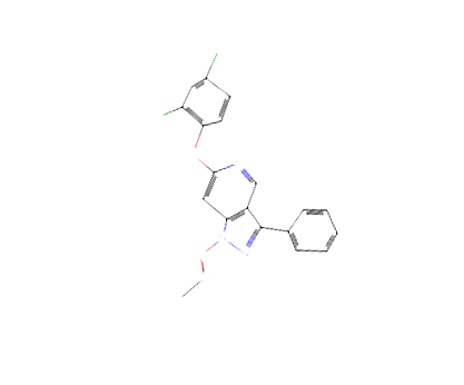 CBOn1nc(-c2ccccc2)c2cnc(Oc3ccc(F)cc3F)cc21